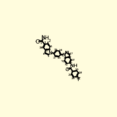 NC(=O)c1ccc2c(ccn2-c2ccc(-n3ncc4cc(NC(=O)c5ccc(F)cc5)ccc43)cc2)c1